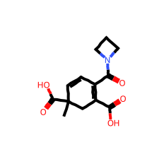 CC1(C(=O)O)C=CC(C(=O)N2CCC2)=C(C(=O)O)C1